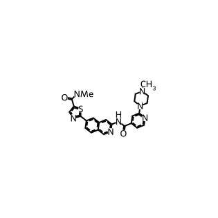 CNC(=O)c1cnc(-c2ccc3cnc(NC(=O)c4ccnc(N5CCN(C)CC5)c4)cc3c2)s1